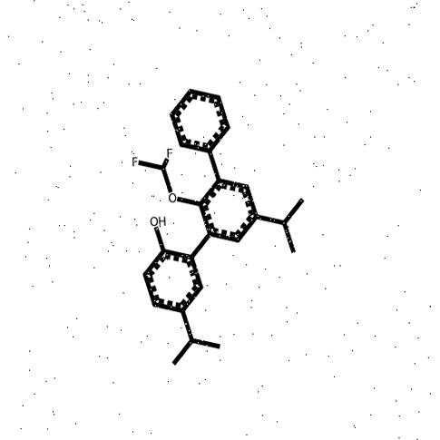 CC(C)c1ccc(O)c(-c2cc(C(C)C)cc(-c3ccccc3)c2OC(F)F)c1